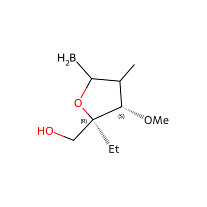 BC1O[C@](CC)(CO)[C@@H](OC)C1C